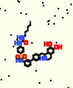 CCCCCCNC(=O)Nc1ccc(S(=O)(=O)Nc2cccc(-c3ccc(CC4NCCc5cc(O)c(O)cc54)cc3)c2)cc1